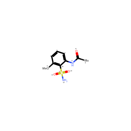 COc1cccc(NC(=O)C(C)(C)C)c1S(N)(=O)=O